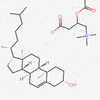 CC(=O)OC(CC(=O)[O-])C[N+](C)(C)C.CC(C)CCC[C@@H](C)[C@H]1CC[C@H]2[C@@H]3CC=C4C[C@@H](O)CC[C@]4(C)[C@H]3CC[C@]12C